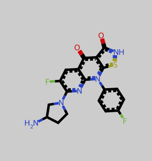 NC1CCN(c2nc3c(cc2F)c(=O)c2c(=O)[nH]sc2n3-c2ccc(F)cc2)C1